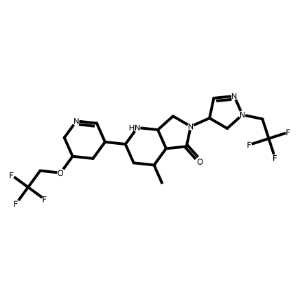 CC1CC(C2C=NCC(OCC(F)(F)F)C2)NC2CN(C3C=NN(CC(F)(F)F)C3)C(=O)C12